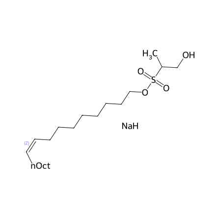 CCCCCCCC/C=C\CCCCCCCCOS(=O)(=O)C(C)CO.[NaH]